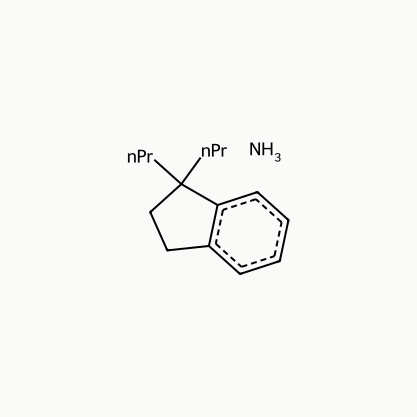 CCCC1(CCC)CCc2ccccc21.N